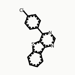 Clc1ccc(-c2ncnc3c2sc2ccccc23)cc1